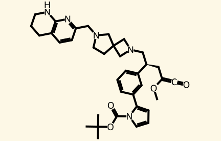 COC(=C=O)C[C@H](CN1CC2(CCN(Cc3ccc4c(n3)NCCC4)C2)C1)c1cccc(-c2cccn2C(=O)OC(C)(C)C)c1